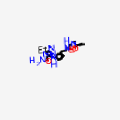 CC#CC(=O)N(C)CC(=O)NCCc1cccc(Nc2nc(N(C)C)c(CC)nc2C(N)=O)c1